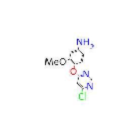 COc1cc(N)ccc1Oc1cc(Cl)ncn1